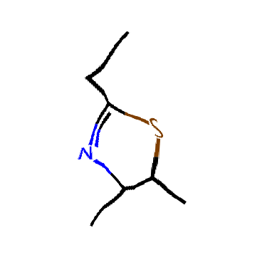 CCC1=NC(C)C(C)S1